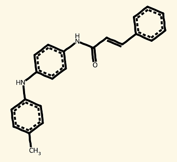 Cc1ccc(Nc2ccc(NC(=O)/C=C/c3ccccc3)cc2)cc1